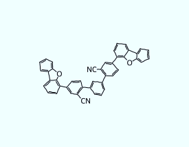 N#Cc1cc(-c2cccc3c2oc2ccccc23)ccc1-c1cccc(-c2ccc(-c3cccc4c3oc3ccccc34)cc2C#N)c1